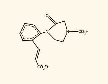 CCOC(=O)C=Cc1ccccc1N1CCN(C(=O)O)CC1=O